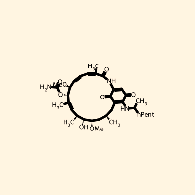 CCCCCC(C)NC1=C2C[C@@H](C)C[C@H](OC)[C@H](O)[C@@H](C)C=C(C)[C@H](OC(N)=O)[C@@H](OC)C=CC=C(C)C(=O)NC(=CC1=O)C2=O